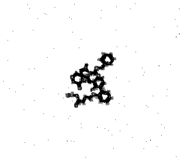 CC1CC2(COCC(=O)N2)C(Cc2cccc(-c3ccccc3OCCCC(=O)OC(C)(C)C)c2F)N1C(=O)OCc1ccccc1